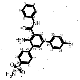 Nc1c(C(=O)Nc2ccccc2)cc(-c2ccc(Br)cc2)cc1-c1ccc(S(N)(=O)=O)cc1